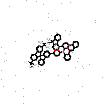 CC(C)(C)c1ccc2c(c1)C1(c3ccccc3-c3cc(-c4ccc(N(c5ccccc5-c5ccc6ccccc6c5)c5ccccc5-c5cccc6c5-c5ccccc5C6(C)C)cc4)ccc31)c1cc(C(C)(C)C)ccc1-2